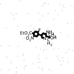 CCOC(=O)c1cc(F)c(-c2cnc(C(C)(C)O)c(N)c2)cc1[N+](=O)[O-]